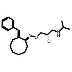 CC(C)NC[C@H](O)CO/N=C1\CCCCCC\C1=C/c1ccccc1